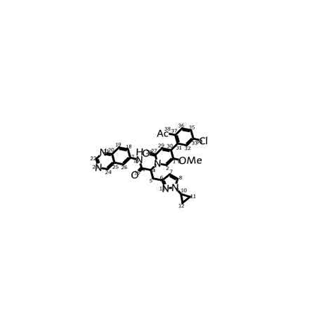 COc1cn(C(Cc2ccn(C3CC3)n2)C(=O)Nc2ccc3ncncc3c2)c(=O)cc1-c1cc(Cl)ccc1C(C)=O